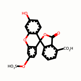 O=C(O)c1cccc2c1C(=O)OC21c2ccc(O)cc2Oc2cc(OS(=O)(=O)O)ccc21